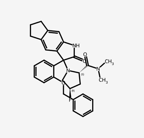 CN(C)C(=O)[C@@H]1C[C@@H](F)CN1C1(c2ccccc2OCc2ccccc2)C(=O)Nc2cc3c(cc21)CCC3